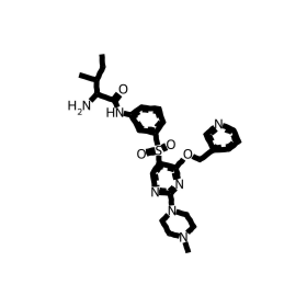 CCC(C)C(N)C(=O)Nc1cccc(S(=O)(=O)c2cnc(N3CCN(C)CC3)nc2OCc2cccnc2)c1